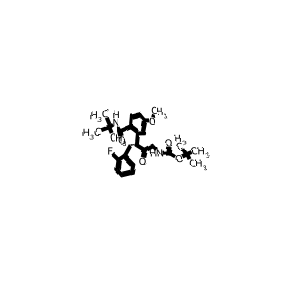 COc1ccc(C(=O)NC(C)(C)C)c([C@@H](Cc2ccccc2F)C(=O)CNC(=O)OC(C)(C)C)c1